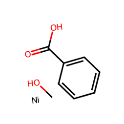 CO.O=C(O)c1ccccc1.[Ni]